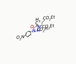 CCOC(=O)CCC(N[C@@H](C)C(=O)N(CC(=O)O)c1ccc([N+](=O)[O-])cc1)C(=O)OCC